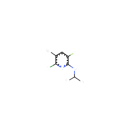 CC(C)C(Nc1nc(Cl)c(C#N)cc1F)C(C)C